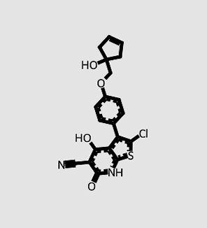 N#Cc1c(O)c2c(-c3ccc(OCC4(O)CC=CC4)cc3)c(Cl)sc2[nH]c1=O